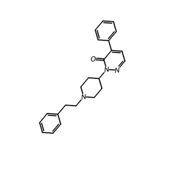 O=c1c(-c2ccccc2)ccnn1C1CCN(CCc2ccccc2)CC1